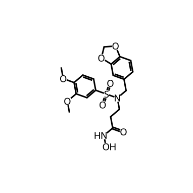 COc1ccc(S(=O)(=O)N(CCC(=O)NO)Cc2ccc3c(c2)OCO3)cc1OC